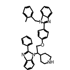 Cc1ccccc1Cn1c(-c2ccc(OCC(C3CCNCC3)n3c(-c4ccccc4)nc4ccccc43)cc2)nc2ccccc21